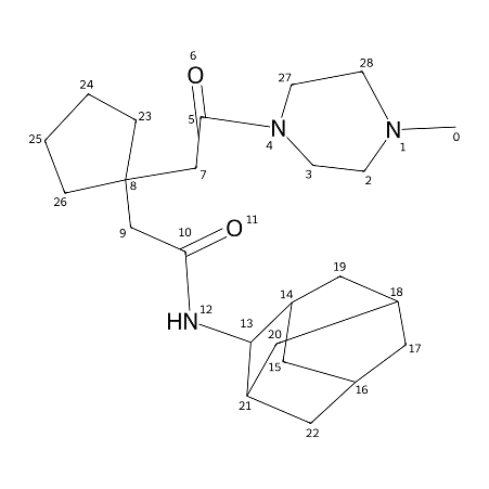 CN1CCN(C(=O)CC2(CC(=O)NC3C4CC5CC(C4)CC3C5)CCCC2)CC1